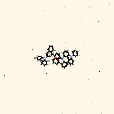 c1ccc(-c2ccccc2N(c2ccc(-c3cc(-n4c5ccccc5c5ccccc54)cc4ccccc34)cc2)c2cccc3c2c2ccccc2n3-c2ccccc2)cc1